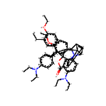 CCOc1ccc(C2(c3ccc(N(CC)CC)cc3)C3=C4C5=C6N(C3C3C6(OC5=O)C3(c3ccc(N(CC)CC)cc3)c3ccc(OCC)c(CC)c3)C42)cc1CC